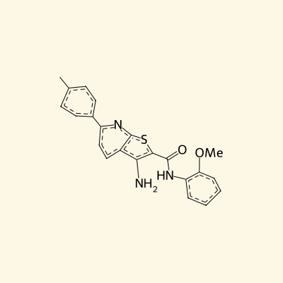 COc1ccccc1NC(=O)c1sc2nc(-c3ccc(C)cc3)ccc2c1N